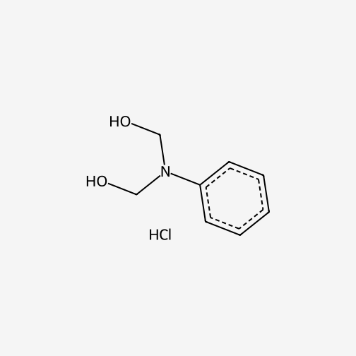 Cl.OCN(CO)c1ccccc1